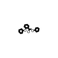 O=C(COc1ccccc1)c1ccccc1Oc1ccccc1